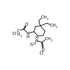 CC(=O)[NH][Ti+2].CCC1(CC)CCCC(NC(C)=O)C1.[Cl-].[Cl-]